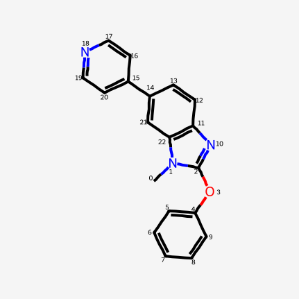 Cn1c(Oc2ccccc2)nc2ccc(-c3ccncc3)cc21